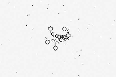 CC(=O)C(C)(C)C(=O)O[C@@H](C=O)[C@@H](OCc1ccccc1)[C@H](OCc1ccccc1)[C@H](O)COCc1ccccc1.c1ccc(Sc2ccccc2)cc1